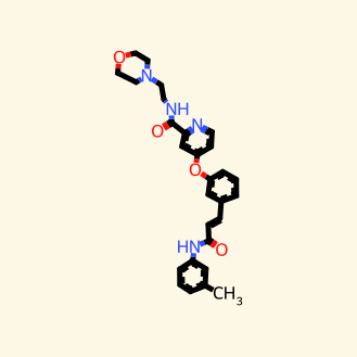 Cc1cccc(NC(=O)/C=C/c2cccc(Oc3ccnc(C(=O)NCCN4CCOCC4)c3)c2)c1